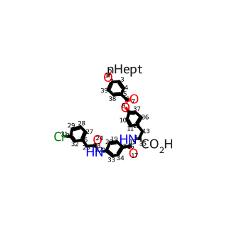 CCCCCCCOc1ccc(C(=O)Oc2ccc(C[C@H](NC(=O)c3ccc(NC(=O)Cc4cccc(Cl)c4)cc3)C(=O)O)cc2)cc1